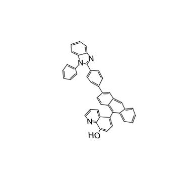 Oc1ccc(-c2c3ccccc3cc3cc(-c4ccc(-c5nc6ccccc6n5-c5ccccc5)cc4)ccc23)c2cccnc12